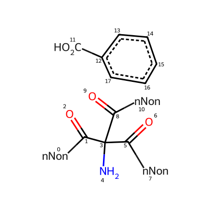 CCCCCCCCCC(=O)C(N)(C(=O)CCCCCCCCC)C(=O)CCCCCCCCC.O=C(O)c1ccccc1